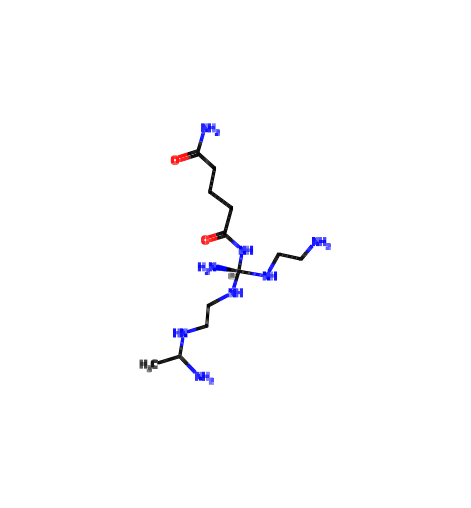 CC(N)NCCN[C@@](N)(NCCN)NC(=O)CCCC(N)=O